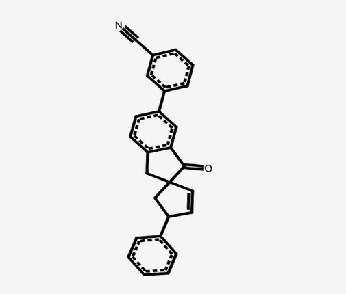 N#Cc1cccc(-c2ccc3c(c2)C(=O)C2(C=CC(c4ccccc4)C2)C3)c1